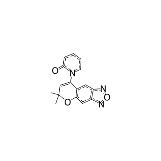 CC1(C)C=C(n2ccccc2=O)c2cc3nonc3cc2O1